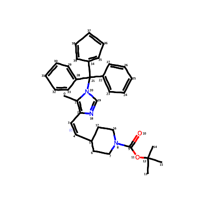 Cc1c(/C=C\C2CCN(C(=O)OC(C)(C)C)CC2)ncn1C(c1ccccc1)(c1ccccc1)c1ccccc1